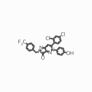 O=c1c2nn(-c3ccc(O)cc3)c(-c3ccc(Cl)cc3Cl)cc-2nn1Cc1ccc(C(F)(F)F)cc1